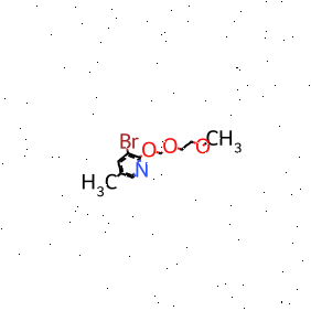 COCCOCOc1ncc(C)cc1Br